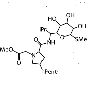 CCCCCC1CC(C(=O)NC(C(C)C)C2OC(SC)C(O)C(O)C2O)N(CC(=O)OC)C1